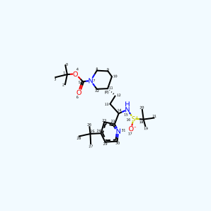 CC(C)(C)OC(=O)N1CCC[C@H](CCC(N[S+]([O-])C(C)(C)C)c2cc(C(C)(C)C)ccn2)C1